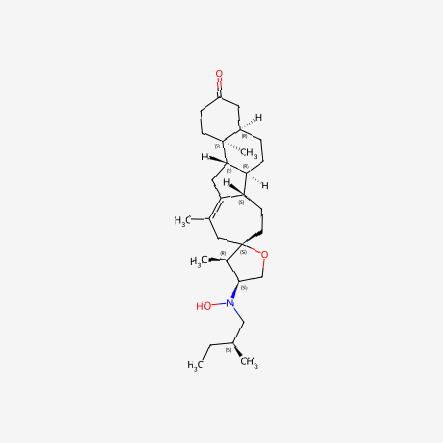 CC[C@H](C)CN(O)[C@@H]1CO[C@]2(CC[C@@H]3C(=C(C)C2)C[C@H]2[C@H]3CC[C@@H]3CC(=O)CC[C@@]32C)[C@@H]1C